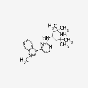 Cn1cc(-c2ccnc(NC3CC(C)(C)NC(C)(C)C3)n2)c2ccccc21